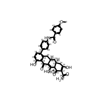 COc1ccc(C(=O)Nc2ccc(-c3ccc(O)c4c3C[C@H]3C[C@H]5CC(O)=C(C(N)=O)C(=O)[C@@]5(O)C(O)=C3C4=O)cc2)cc1